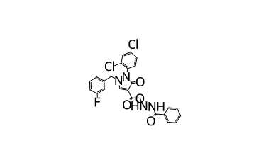 O=C(NNOC(=O)c1cn(Cc2cccc(F)c2)n(-c2ccc(Cl)cc2Cl)c1=O)c1ccccc1